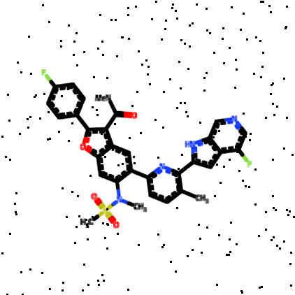 CNC(=O)c1c(-c2ccc(F)cc2)oc2cc(N(C)S(C)(=O)=O)c(-c3ccc(C)c(-c4cc5c(F)cncc5[nH]4)n3)cc12